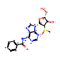 C[S+]([O-])C1C(O)[C@@H](CO)O[C@H]1n1cnc2c(NC(=O)c3ccccc3)ncnc21